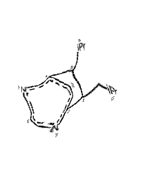 CC(C)C1c2cc(ncn2)C1C(C)C